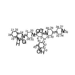 Cc1cc(CC(CC(=O)N2CCC(N3Cc4ccccc4NC3=O)CC2)C(=O)N2CCC(C3CCN(C)CC3)CC2)cc(C)c1O